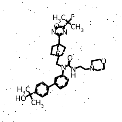 CC(C)(O)c1ccc(-c2cccc(N(CC34CCC(c5noc(C(C)(C)F)n5)(CC3)CC4)C(=O)NCCN3CCOCC3)c2)cc1